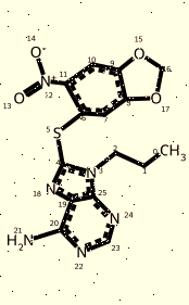 CCCn1c(Sc2cc3c(cc2[N+](=O)[O-])OCO3)nc2c(N)ncnc21